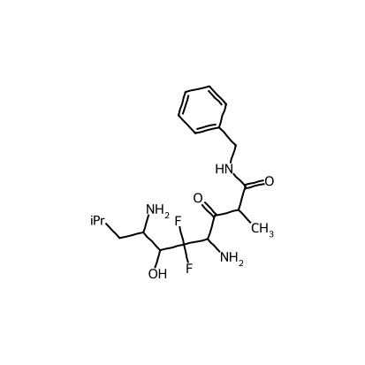 CC(C)CC(N)C(O)C(F)(F)C(N)C(=O)C(C)C(=O)NCc1ccccc1